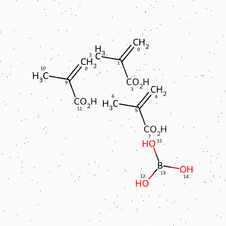 C=C(C)C(=O)O.C=C(C)C(=O)O.C=C(C)C(=O)O.OB(O)O